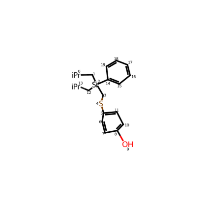 CC(C)C[Si](CSc1ccc(O)cc1)(CC(C)C)c1ccccc1